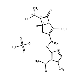 C[C@@H](O)[C@H]1C(=O)N2C(C(=O)O)=C(c3c[n+]4cn(C)c([S+](C)[O-])c4s3)C[C@H]12.O=S(=O)([O-])C(F)(F)F